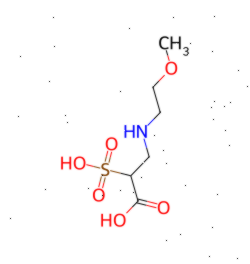 COCCNCC(C(=O)O)S(=O)(=O)O